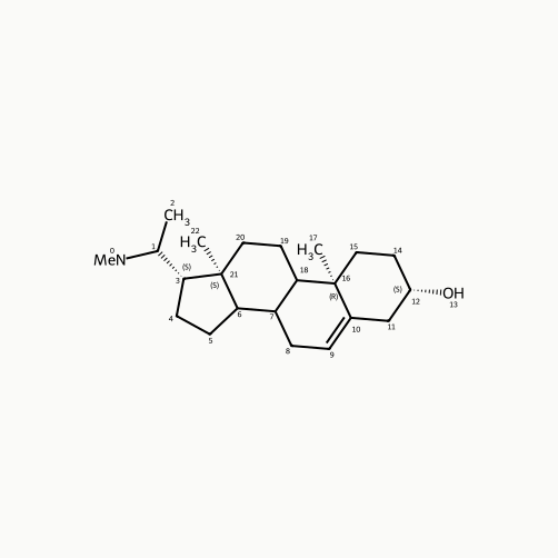 CNC(C)[C@H]1CCC2C3CC=C4C[C@@H](O)CC[C@]4(C)C3CC[C@@]21C